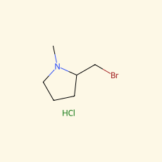 CN1CCCC1CBr.Cl